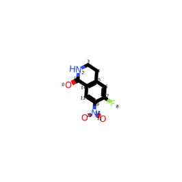 O=C1NCCc2cc(F)c([N+](=O)[O-])cc21